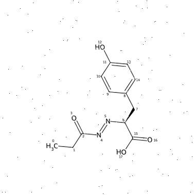 CCC(=O)N=N[C@@H](Cc1ccc(O)cc1)C(=O)O